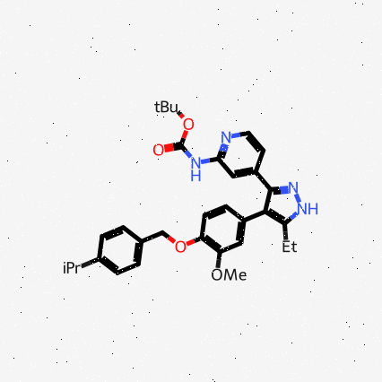 CCc1[nH]nc(-c2ccnc(NC(=O)OC(C)(C)C)c2)c1-c1ccc(OCc2ccc(C(C)C)cc2)c(OC)c1